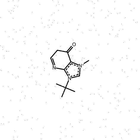 C[n+]1cn(C(C)(C)C)c2c1C(=O)CC=N2